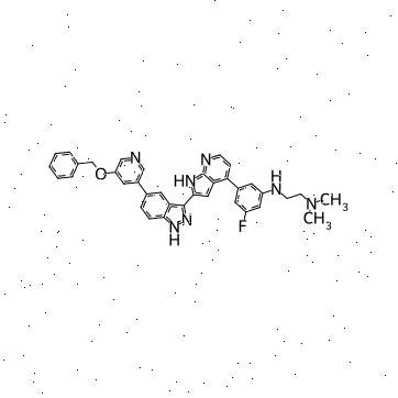 CN(C)CCNc1cc(F)cc(-c2ccnc3[nH]c(-c4n[nH]c5ccc(-c6cncc(OCc7ccccc7)c6)cc45)cc23)c1